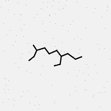 CCCC([CH]CCC(C)CC)CC